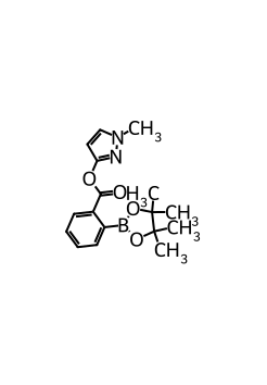 Cn1ccc(OC(=O)c2ccccc2B2OC(C)(C)C(C)(C)O2)n1